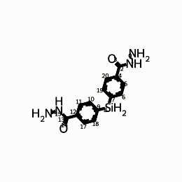 NNC(=O)c1ccc([SiH2]c2ccc(C(=O)NN)cc2)cc1